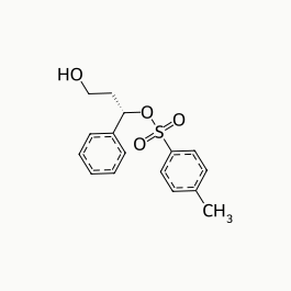 Cc1ccc(S(=O)(=O)O[C@@H](CCO)c2ccccc2)cc1